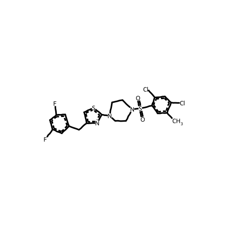 Cc1cc(S(=O)(=O)N2CCN(c3nc(Cc4cc(F)cc(F)c4)cs3)CC2)c(Cl)cc1Cl